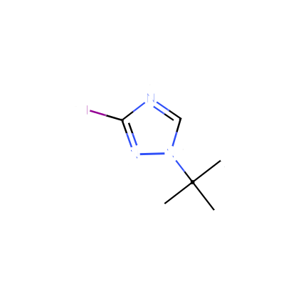 CC(C)(C)n1cnc(I)n1